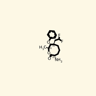 C[C@@H]1OC(=O)[C@@H](N)CCC[C@H](CC(F)F)[C@H]1Oc1ccccc1